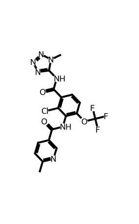 Cc1ccc(C(=O)Nc2c(OC(F)(F)F)ccc(C(=O)Nc3nnnn3C)c2Cl)cn1